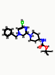 CC(C)(C)OC(=O)NC1CCN(C2=NC(Cl)=CN(Cc3ccccc3)C2)CC1